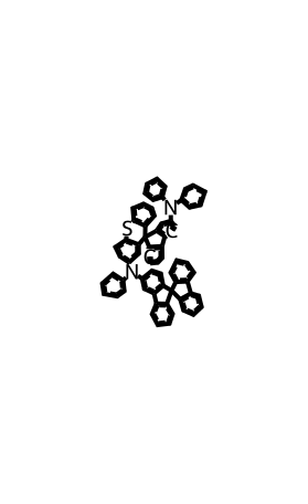 c1ccc(N(c2ccc3c(c2)-c2ccccc2C32c3ccccc3-c3ccccc32)c2ccc3c(c2)C2(c4ccccc4S3)c3ccccc3-c3ccc(N(c4ccccc4)c4ccccc4)cc32)cc1